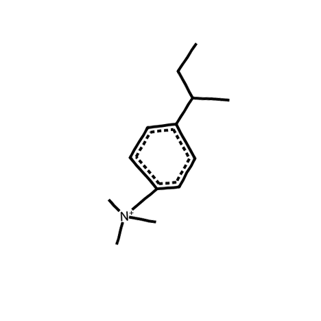 CCC(C)c1ccc([N+](C)(C)C)cc1